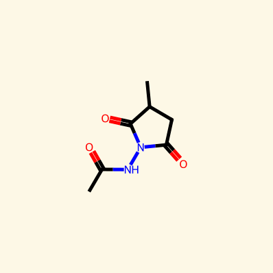 CC(=O)NN1C(=O)CC(C)C1=O